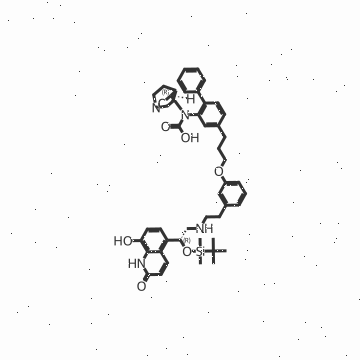 CC(C)(C)[Si](C)(C)O[C@@H](CNCCc1cccc(OCCCc2ccc(-c3ccccc3)c(N(C(=O)O)[C@H]3CN4CCC3CC4)c2)c1)c1ccc(O)c2[nH]c(=O)ccc12